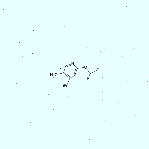 Cc1cnc(OC(F)F)cc1C(C)C